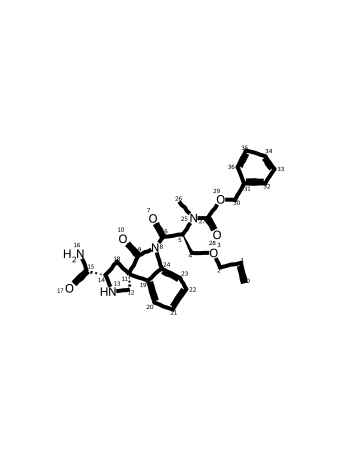 C=CCOC[C@@H](C(=O)N1C(=O)[C@@]2(CN[C@H](C(N)=O)C2)c2ccccc21)N(C)C(=O)OCc1ccccc1